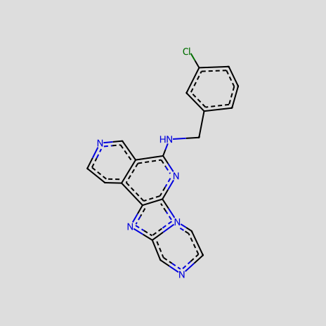 Clc1cccc(CNc2nc3c(nc4cnccn43)c3ccncc23)c1